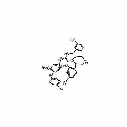 COc1cc(NC(=O)NCc2cccc(C(F)(F)F)c2)ccc1Nc1ncc(Cl)c(Nc2ccc(C3CNCCO3)c(OC)c2)n1